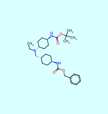 CCN(C[C@H]1CC[C@H](NC(=O)OCc2ccccc2)CC1)[C@H]1CC[C@H](NC(=O)OC(C)(C)C)CC1